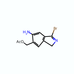 CC(=O)OCc1cc2c(cc1N)C(Br)=NC2